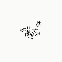 COc1cccc(C(NC(=O)C2CCN(CCOc3ccc4ncsc4c3)CC2)c2ccccn2)c1.NC(=O)C1CCNCC1